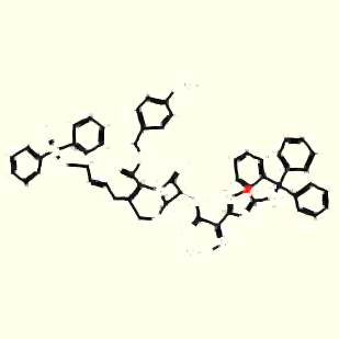 CO/N=C(\C(=O)N[C@@H]1C(=O)N2C(C(=O)OCc3ccc(OC)cc3)=C(C/C=C/COP(=O)(c3ccccc3)c3ccccc3)CS[C@H]12)c1nsc(NC(c2ccccc2)(c2ccccc2)c2ccccc2)n1